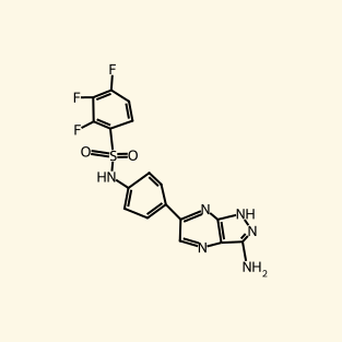 Nc1n[nH]c2nc(-c3ccc(NS(=O)(=O)c4ccc(F)c(F)c4F)cc3)cnc12